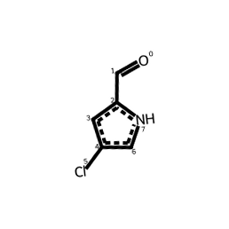 O=[C]c1cc(Cl)c[nH]1